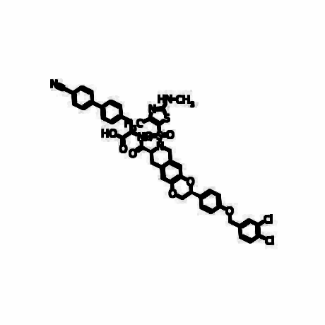 CNc1nc(C)c(S(=O)(=O)N2Cc3cc4c(cc3C[C@H]2C(=O)NC(Cc2ccc(-c3ccc(C#N)cc3)cc2)C(=O)O)OC[C@H](c2ccc(OCc3ccc(Cl)c(Cl)c3)cc2)O4)s1